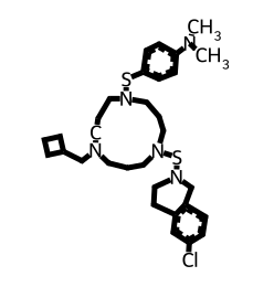 CN(C)c1ccc(SN2CCCN(CC3CCC3)CCCN(SN3CCc4cc(Cl)ccc4C3)CCC2)cc1